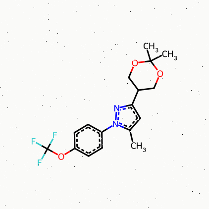 Cc1cc(C2COC(C)(C)OC2)nn1-c1ccc(OC(F)(F)F)cc1